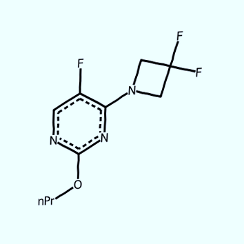 CCCOc1ncc(F)c(N2CC(F)(F)C2)n1